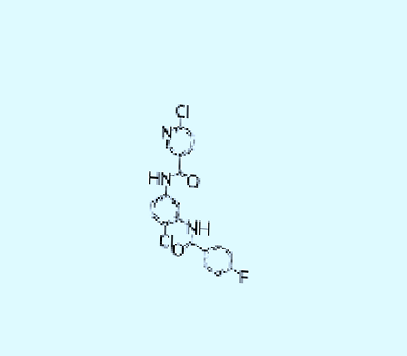 O=C(Nc1ccc(Cl)c(NC(=O)c2ccc(F)cc2)c1)c1ccc(Cl)nc1